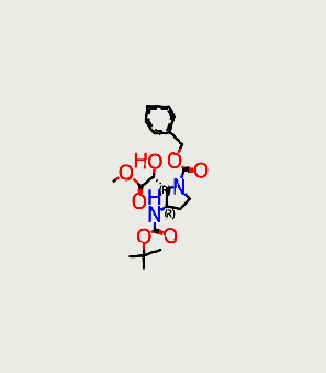 COC(=O)C(O)[C@H]1[C@H](NC(=O)OC(C)(C)C)CCN1C(=O)OCc1ccccc1